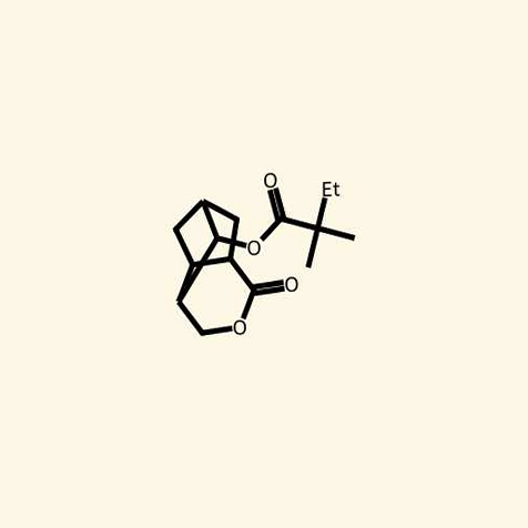 CCC(C)(C)C(=O)OC1C2CC3C(=O)OCC1C3C2